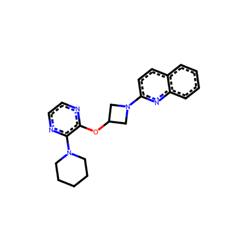 c1ccc2nc(N3CC(Oc4nccnc4N4CCCCC4)C3)ccc2c1